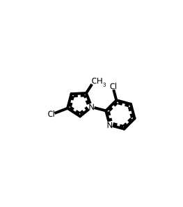 Cc1cc(Cl)cn1-c1ncccc1Cl